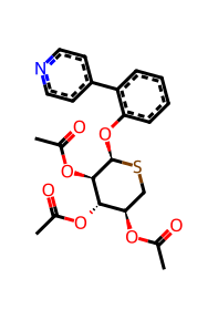 CC(=O)O[C@@H]1[C@@H](OC(C)=O)[C@@H](Oc2ccccc2-c2ccncc2)SC[C@H]1OC(C)=O